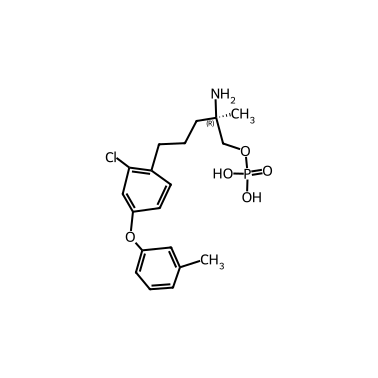 Cc1cccc(Oc2ccc(CCC[C@@](C)(N)COP(=O)(O)O)c(Cl)c2)c1